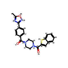 Cc1nc(-c2ccc(C(=O)N3CCN(C(=O)c4cc5ccccc5s4)CC3)cc2)no1